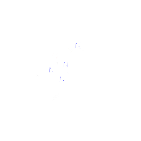 C#CCN1CN(CC(=C)C)C(=O)N(c2snc(CC)c2C)C1